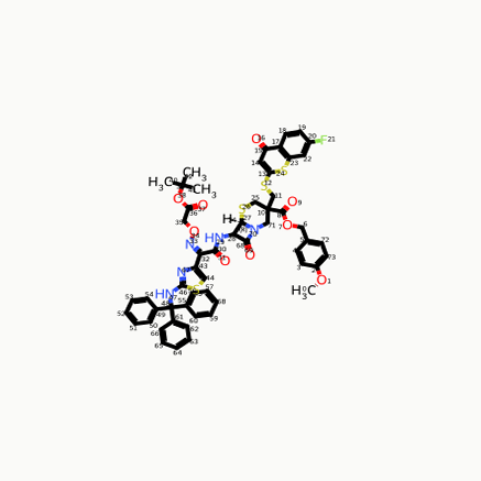 COc1ccc(COC(=O)C2(CSc3cc(=O)c4ccc(F)cc4s3)CS[C@@H]3C(NC(=O)C(=NOCC(=O)OC(C)(C)C)c4csc(NC(c5ccccc5)(c5ccccc5)c5ccccc5)n4)C(=O)N3C2)cc1